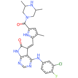 Cc1cc(C(=O)N2CC(C)NC(C)C2)[nH]c1C=C1C(=O)Nc2ncnc(Nc3ccc(F)c(Cl)c3)c21